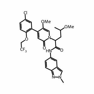 COc1cn(C(CC(C)OC)C(=O)Nc2ccc3nn(C)cc3c2)c(=O)cc1-c1cc(Cl)ccc1OCC(F)(F)F